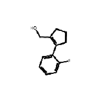 OCC1=C(c2ccccc2F)CCC1